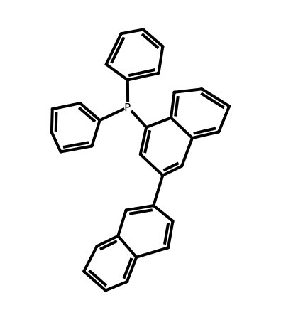 c1ccc(P(c2ccccc2)c2cc(-c3ccc4ccccc4c3)cc3ccccc23)cc1